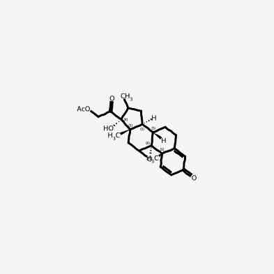 CC(=O)OCC(=O)[C@@]1(O)C(C)C[C@H]2[C@@H]3CCC4=CC(=O)C=C[C@]4(C)[C@]34OC4C[C@@]21C